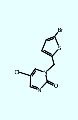 O=c1ncc(Cl)cn1Cc1ccc(Br)s1